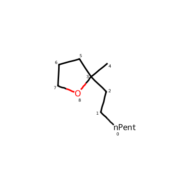 CCCCCCCC1(C)CCCO1